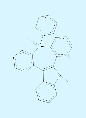 CC1(C)C2=C(c3ccccc31)c1ncccc1P(=O)(c1ccccc1)c1cccnc12